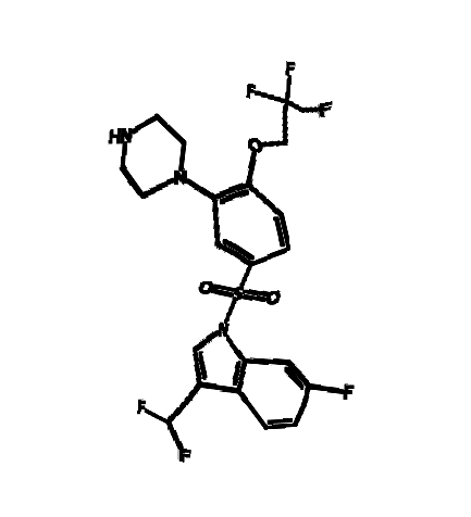 O=S(=O)(c1ccc(OCC(F)(F)F)c(N2CCNCC2)c1)n1cc(C(F)F)c2ccc(F)cc21